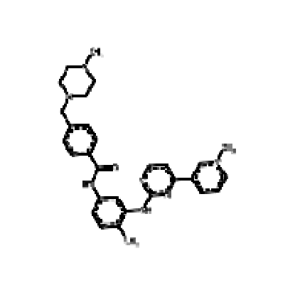 B[n+]1cccc(-c2ccnc(Nc3cc(NC(=O)c4ccc(CN5CCN(C)CC5)cc4)ccc3C)n2)c1